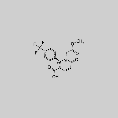 COC(=O)C[C@@H]1C(=O)C=CN(C(=O)O)[C@H]1c1ccc(C(F)(F)F)cc1